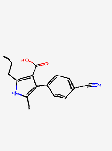 CCCc1[nH]c(C)c(-c2ccc(C#N)cc2)c1C(=O)O